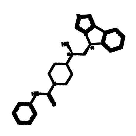 O=C(Nc1ccccc1)N1CCC([C@H](O)C[C@@H]2c3ccccc3-c3cncn32)CC1